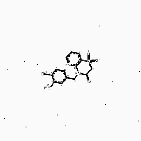 O=C1CS(=O)(=O)c2cccnc2N1Cc1ccc(Cl)c(C(F)(F)F)c1